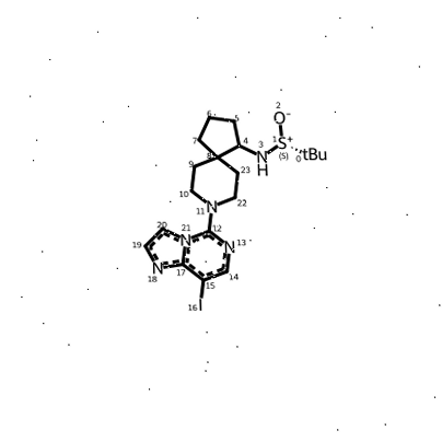 CC(C)(C)[S@@+]([O-])NC1CCCC12CCN(c1ncc(I)c3nccn13)CC2